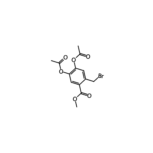 COC(=O)c1cc(OC(C)=O)c(OC(C)=O)cc1CBr